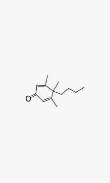 CCCCC1(C)C(C)=CC(=O)C=C1C